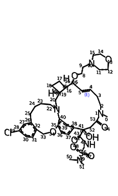 CN1CC/C=C/[C@H](OCCN2CCOCC2)[C@@H]2CC[C@H]2CN2CCCCc3cc(Cl)ccc3COc3ccc(cc32)[C@@](O)(C(=O)NS(=O)(=O)N(C)C)CC1=O